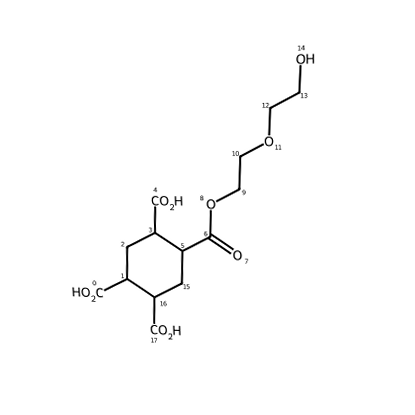 O=C(O)C1CC(C(=O)O)C(C(=O)OCCOCCO)CC1C(=O)O